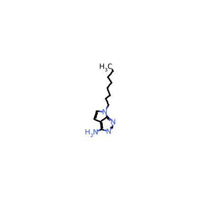 CCCCCCCCn1ccc2c(N)ncnc21